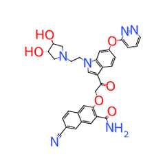 N#Cc1ccc2cc(OCC(=O)c3cn(CCN4C[C@H](O)[C@@H](O)C4)c4cc(Oc5cccnn5)ccc34)c(C(N)=O)cc2c1